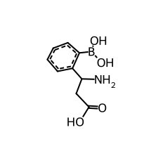 NC(CC(=O)O)c1ccccc1B(O)O